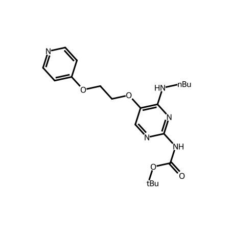 CCCCNc1nc(NC(=O)OC(C)(C)C)ncc1OCCOc1ccncc1